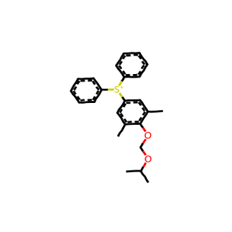 Cc1cc([S+](c2ccccc2)c2ccccc2)cc(C)c1OCOC(C)C